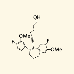 COc1cc(C2=C(C#CCCCCO)c3cc(F)c(OC)cc3CCC2)ccc1F